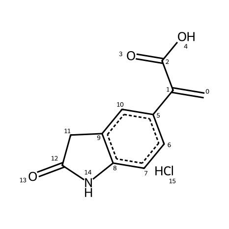 C=C(C(=O)O)c1ccc2c(c1)CC(=O)N2.Cl